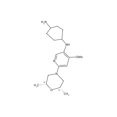 COc1cc(N2C[C@@H](C)O[C@@H](C)C2)ncc1NC1CCC(N)CC1